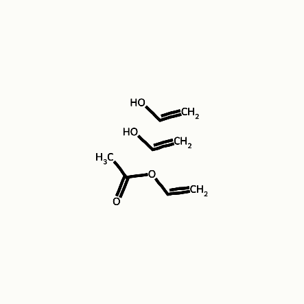 C=CO.C=CO.C=COC(C)=O